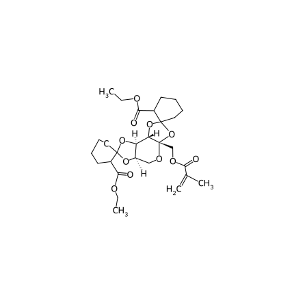 C=C(C)C(=O)OC[C@@]12OC[C@H]3OC4(CCCCC4C(=O)OCC)O[C@H]3[C@@H]1OC1(CCCCC1C(=O)OCC)O2